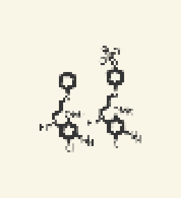 CCN(CCCSc1ccccc1)c1cc(Cl)c([N+]#N)cc1OC.CCN(CCCSc1ccccc1)c1cc(Cl)c([N+]#N)cc1OC.O=S(=O)([O-])[O-]